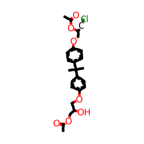 CC(=O)OCC(O)COc1ccc(C(C)(C)c2ccc(OCC(CCl)OC(C)=O)cc2)cc1